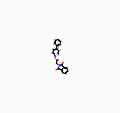 O=C1c2ccccc2C(=O)N1CCO[n+]1ccc(-c2ccccc2)cc1